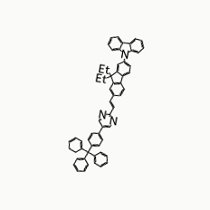 CCC1(CC)c2cc(/C=C/c3ncc(-c4ccc(C(C5=CC=CCC5)(c5ccccc5)c5ccccc5)cc4)cn3)ccc2-c2ccc(-n3c4ccccc4c4ccccc43)cc21